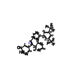 O=c1cc(/C(=C/n2cnc(-c3cc(C(F)(F)F)cc(C(F)(F)F)c3)n2)c2cncnc2)cn[nH]1